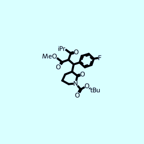 COC(=O)C(C(=O)C(C)C)C(c1ccc(F)cc1)C1CCCN(C(=O)OC(C)(C)C)C1=O